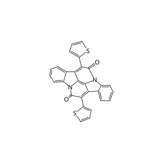 O=c1c(-c2cccs2)c2c3ccccc3n3c(=O)c(-c4cccs4)c4c5ccccc5n1c4c23